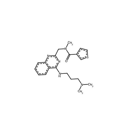 CN(C)CCCNc1nc(CN(C)C(=O)c2ccsc2)nc2ccccc12